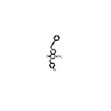 CN1CN(Cc2ccc(Cl)cc2)C(=O)C2=C1CCN(CC#Cc1ccccc1)C2